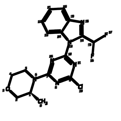 C[C@@H]1COCCN1c1nc(Cl)nc(-n2c(C(F)F)nc3ccccc32)n1